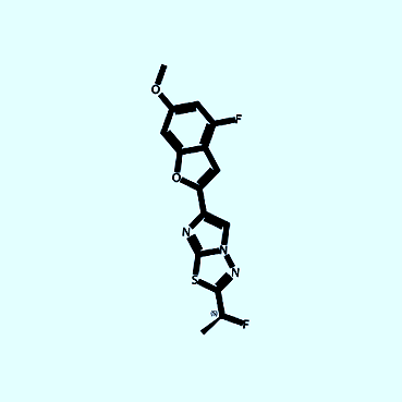 COc1cc(F)c2cc(-c3cn4nc([C@H](C)F)sc4n3)oc2c1